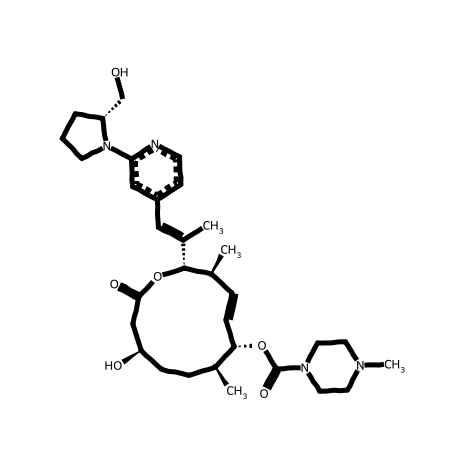 C/C(=C\c1ccnc(N2CCC[C@@H]2CO)c1)[C@H]1OC(=O)C[C@H](O)CC[C@H](C)[C@@H](OC(=O)N2CCN(C)CC2)/C=C/[C@@H]1C